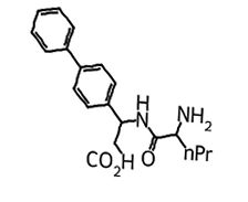 CCCC(N)C(=O)NC(CC(=O)O)c1ccc(-c2ccccc2)cc1